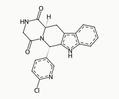 O=C1NCC(=O)N2[C@@H](c3ccc(Cl)nc3)c3[nH]c4ccccc4c3C[C@H]12